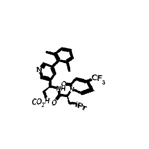 Cc1cccc(C)c1-c1cncc([C@H](CC(=O)O)NC(=O)[C@H](CC(C)C)n2ccc(C(F)(F)F)cc2=O)c1